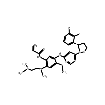 C=CC(=O)Nc1cc(Nc2cc(N3OCC[C@@H]3c3cccc(F)c3F)ncn2)c(OC)cc1N(C)CCN(C)C